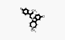 C/C=C(/Cn1c2c(c3cc(Cl)ccc31)CCN(C)CC2)c1ccc(F)cc1